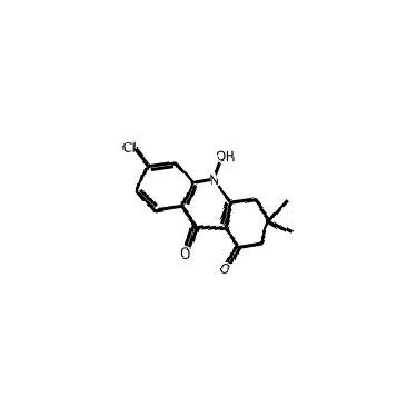 CC1(C)CC(=O)c2c(n(O)c3cc(Cl)ccc3c2=O)C1